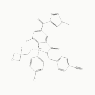 Cn1cnc(C(=O)c2cc(F)c3c(c2)C(=O)N(Cc2ccc(C#N)cn2)[C@@]3(OCC2(F)COC2)c2ccc(Cl)cc2)c1